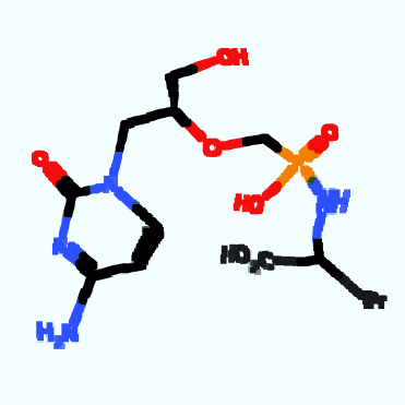 CC(C)C(NP(=O)(O)CO[C@H](CO)Cn1ccc(N)nc1=O)C(=O)O